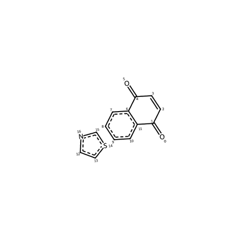 O=C1C=CC(=O)c2ccccc21.c1cscn1